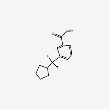 COC(=O)c1cccc(C(F)(F)C2CCCC2)c1